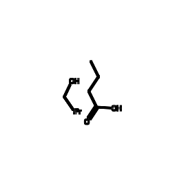 CC(C)CO.CCCC(=O)O